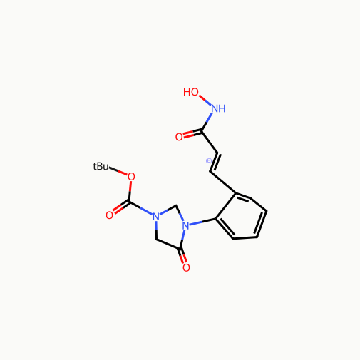 CC(C)(C)OC(=O)N1CC(=O)N(c2ccccc2/C=C/C(=O)NO)C1